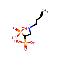 C=CCCNCC(P(=O)(O)O)P(=O)(O)O